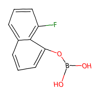 OB(O)Oc1cccc2cccc(F)c12